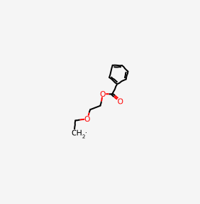 [CH2]COCCOC(=O)c1ccccc1